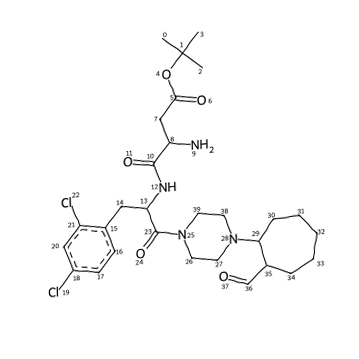 CC(C)(C)OC(=O)CC(N)C(=O)NC(Cc1ccc(Cl)cc1Cl)C(=O)N1CCN(C2CCCCCC2C=O)CC1